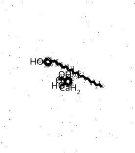 CCCCCCCCCCCCCCCCCCc1ccc(O)cc1.O=C(O)c1ccccc1O.[CaH2]